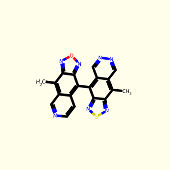 Cc1c2cnccc2c(-c2c3cnncc3c(C)c3nsnc23)c2nonc12